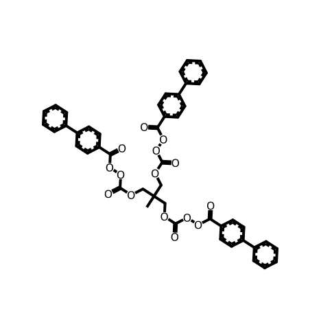 CC(COC(=O)OOC(=O)c1ccc(-c2ccccc2)cc1)(COC(=O)OOC(=O)c1ccc(-c2ccccc2)cc1)COC(=O)OOC(=O)c1ccc(-c2ccccc2)cc1